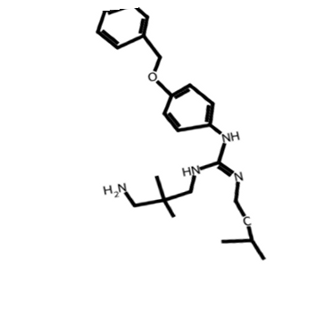 CC(C)CC/N=C(\NCC(C)(C)CN)Nc1ccc(OCc2ccccc2)cc1